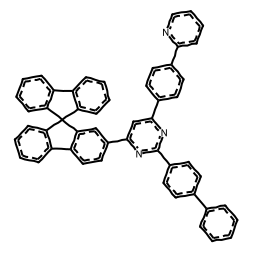 c1ccc(-c2ccc(-c3nc(-c4ccc(-c5ccccn5)cc4)cc(-c4ccc5c(c4)C4(c6ccccc6-c6ccccc64)c4ccccc4-5)n3)cc2)cc1